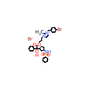 Cc1n(CCCOC(=O)[C@](O)(c2ccccc2)[C@H]2CCC(NS(=O)(=O)c3ccccc3)C2)cc[n+]1Cc1ccc(Br)cc1.[Br-]